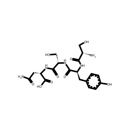 NC(=O)C[C@H](NC(=O)[C@H](CO)NC(=O)[C@H](Cc1ccc(O)cc1)NC(=O)[C@@H](N)CO)C(=O)O